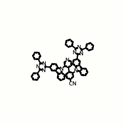 N#Cc1ccc(-c2ccncc2-n2c3ccccc3c3cc(-c4nc(-c5ccccc5)nc(-c5ccccc5)n4)ccc32)c(-n2c3ccccc3c3cc(-c4nc(-c5ccccc5)nc(-c5ccccc5)n4)ccc32)c1